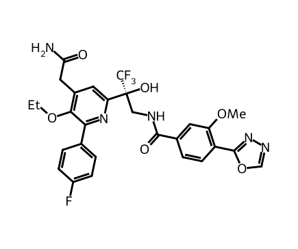 CCOc1c(CC(N)=O)cc([C@@](O)(CNC(=O)c2ccc(-c3nnco3)c(OC)c2)C(F)(F)F)nc1-c1ccc(F)cc1